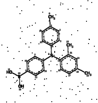 Cc1ccc(N(c2ccc(B(O)O)cc2)c2ccc(C)cc2C)cc1